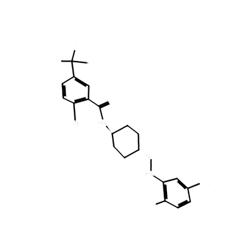 Cc1ccc(F)c(NC[C@H]2CC[C@H](NC(=O)c3cc(C(F)(F)F)ccc3Cl)CC2)c1